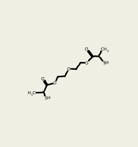 CC(S)C(=O)OCCOCCOC(=O)C(C)S